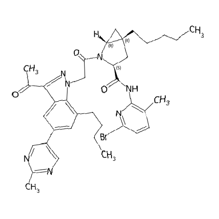 CCCCC[C@@]12C[C@@H](C(=O)Nc3nc(Br)ccc3C)N(C(=O)Cn3nc(C(C)=O)c4cc(-c5cnc(C)nc5)cc(CCCC)c43)[C@@H]1C2